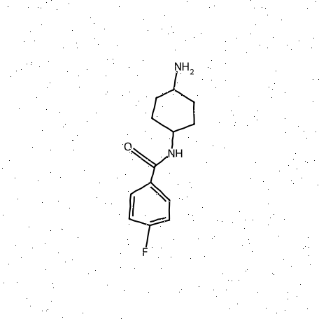 NC1CCC(NC(=O)c2ccc(F)cc2)CC1